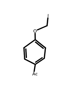 CC(=O)c1ccc(OCI)cc1